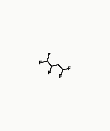 F[C](F)CC(F)C(F)F